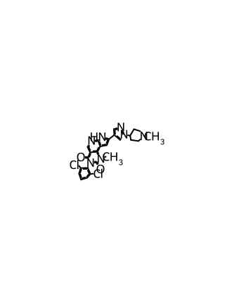 CN1CCC(n2cc(-c3cc4c(ncc5c(=O)n(-c6c(Cl)cccc6Cl)c(=O)n(C)c54)[nH]3)cn2)CC1